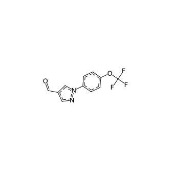 O=Cc1cnn(-c2ccc(OC(F)(F)F)cc2)c1